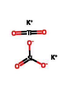 O=[Si]([O-])[O-].[K+].[K+].[O]=[Ti]=[O]